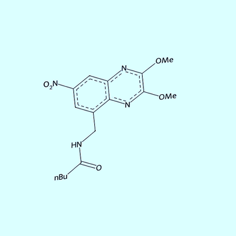 CCCCC(=O)NCc1cc([N+](=O)[O-])cc2nc(OC)c(OC)nc12